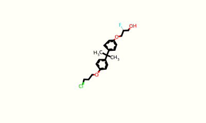 CC(C)(c1ccc(OCCCCl)cc1)c1ccc(OC[C@H](F)CO)cc1